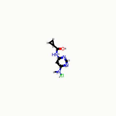 CN(Cl)c1cc(NC(=O)C2CC2)ncn1